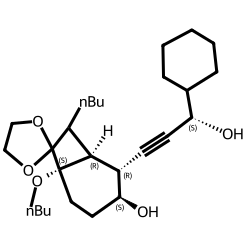 CCCCO[C@@]12CC[C@H](O)[C@@H](C#C[C@@H](O)C3CCCCC3)[C@@H]1C(CCCC)C21OCCO1